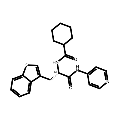 O=C(N[C@@H](Cc1csc2ccccc12)C(=O)Nc1ccncc1)C1CCCCC1